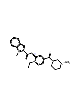 C=C(/N=c1/cc(C(=O)N2CCC[C@@H](N)C2)ccn1CC)c1cc2ccccc2n1C